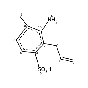 C=CCc1c(S(=O)(=O)O)ccc(C)c1N